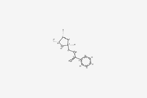 C[C@@H]1C[C@@](C)(COC(=O)c2ccccc2)O[C@@H]1C